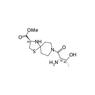 COC(=O)[C@@H]1CSC2(CCN(C(=O)[C@@H](N)[C@@H](C)O)CC2)N1